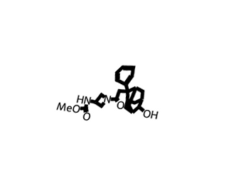 COC(=O)NC1CN(C(=O)CC2(c3ccccc3)C3CC4CC2CC(C3)C4O)C1